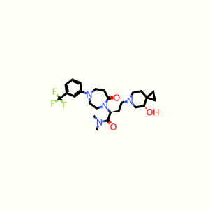 CN(C)C(=O)[C@H](CCN1CCC2(CC2)[C@H](O)C1)N1CCN(c2cccc(C(F)(F)F)c2)CCC1=O